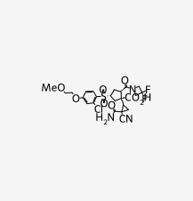 COCCOc1ccc(S(=O)(=O)[C@@H]2C[C@@H](C(=O)N3CC(F)(F)C3)[C@](C(=O)O)(C3CC3(C#N)C(N)=O)C2)c(Cl)c1